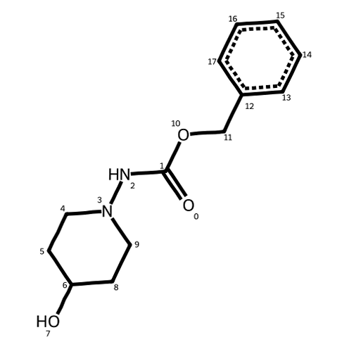 O=C(NN1CCC(O)CC1)OCc1ccccc1